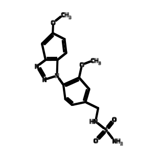 COc1ccc2c(c1)nnn2-c1ccc(CNS(N)(=O)=O)cc1OC